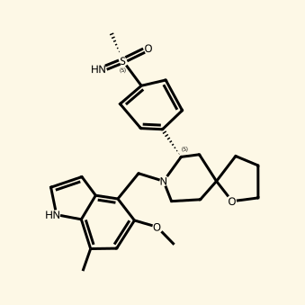 COc1cc(C)c2[nH]ccc2c1CN1CCC2(CCCO2)C[C@H]1c1ccc([S@@](C)(=N)=O)cc1